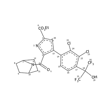 CCOC(=O)c1nc(C(=O)N2C3CCC2CC3)c(-c2ccc(C(O)(C(F)(F)F)C(F)(F)F)c(Cl)c2Cl)s1